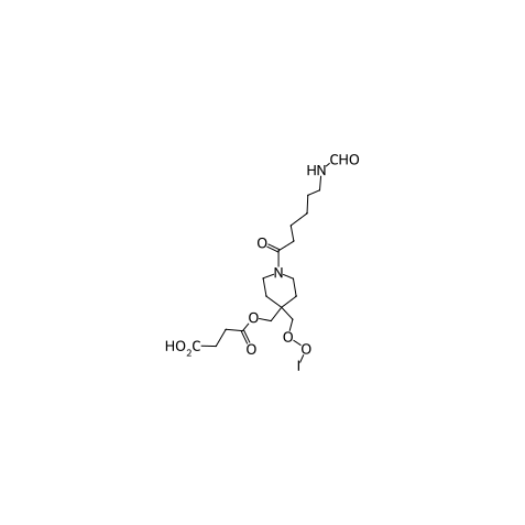 O=CNCCCCCC(=O)N1CCC(COOI)(COC(=O)CCC(=O)O)CC1